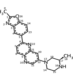 Cc1nc2cc(-c3ccc4ncc(N5CCN[C@H](C)C5)cc4n3)ccc2o1